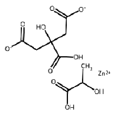 CC(O)C(=O)O.O=C([O-])CC(O)(CC(=O)[O-])C(=O)O.[Zn+2]